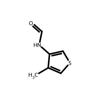 Cc1cscc1NC=O